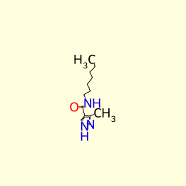 CCCCCCCNC(=O)c1c[nH]nc1C